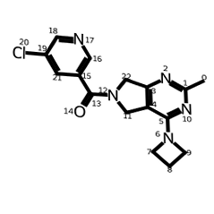 Cc1nc2c(c(N3CCC3)n1)CN(C(=O)c1cncc(Cl)c1)C2